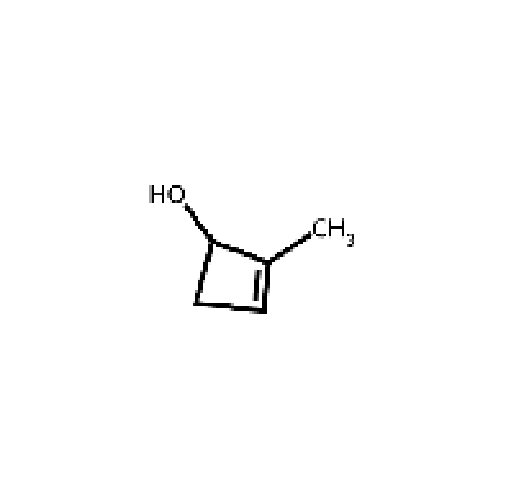 CC1=CC[C]1O